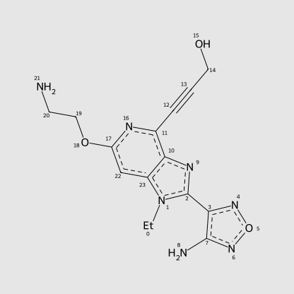 CCn1c(-c2nonc2N)nc2c(C#CCO)nc(OCCN)cc21